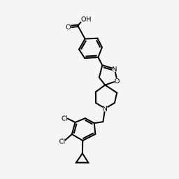 O=C(O)c1ccc(C2=NOC3(CCN(Cc4cc(Cl)c(Cl)c(C5CC5)c4)CC3)C2)cc1